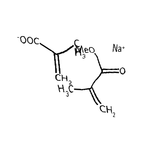 C=C(C)C(=O)OC.C=C(C)C(=O)[O-].[Na+]